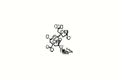 O=C([O-])CC(O)(CC(=O)[O-])C(=O)[O-].O=C([O-])CC(O)(CC(=O)[O-])C(=O)[O-].[Ba+2].[Ba+2].[Ba+2]